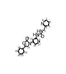 O=C(NCc1ccccn1)Nc1cc(N2CC(c3ccccc3)OC2=O)ccn1